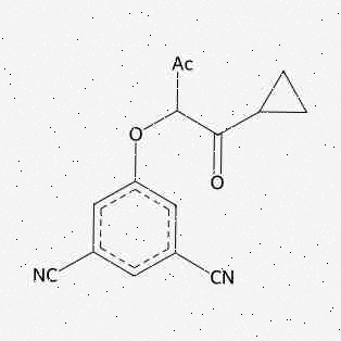 CC(=O)C(Oc1cc(C#N)cc(C#N)c1)C(=O)C1CC1